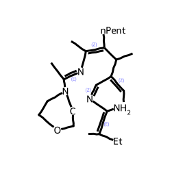 C\C=C(/C=N\C(N)=C(/C)CC)C(C)/C(CCCCC)=C(C)\N=C(/C)N1CCOCC1